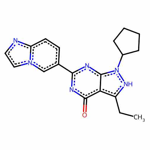 CCc1[nH]n(C2CCCC2)c2nc(-c3ccc4nccn4c3)nc(=O)c1-2